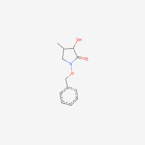 CC1CN(OCc2ccccc2)C(=O)C1O